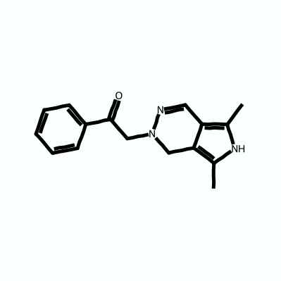 Cc1[nH]c(C)c2c1C=NN(CC(=O)c1ccccc1)C2